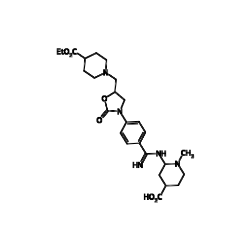 CCOC(=O)C1CCN(CC2CN(c3ccc(C(=N)NC4CC(C(=O)O)CCN4C)cc3)C(=O)O2)CC1